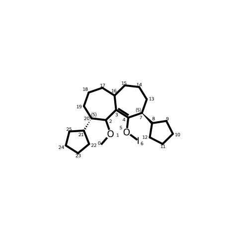 COC1C2=C(OI)[C@H](C3CCCC3)CCCC2CCC[C@H]1C1CCCC1